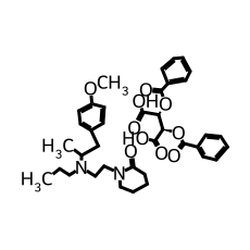 CCCN(CCN1CCCCC1=O)C(C)Cc1ccc(OC)cc1.O=C(O[C@@H](C(=O)O)[C@@H](OC(=O)c1ccccc1)C(=O)O)c1ccccc1